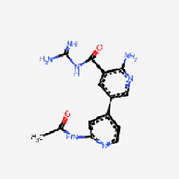 CC(=O)Nc1cc(-c2cnc(N)c(C(=O)NC(=N)N)c2)ccn1